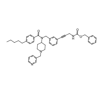 CCCCCc1ccc(C(=O)N(Cc2cccc(C#CCNC(=O)OCc3ccccc3)c2)C2CCN(Cc3cccnc3)CC2)cc1